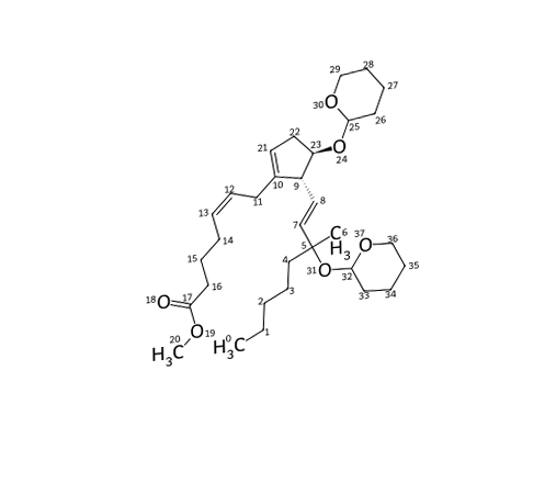 CCCCCC(C)(/C=C/[C@@H]1C(C/C=C\CCCC(=O)OC)=CC[C@H]1OC1CCCCO1)OC1CCCCO1